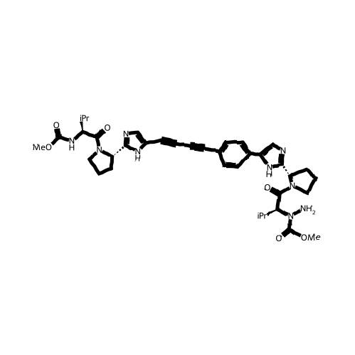 COC(=O)N[C@H](C(=O)N1CCC[C@H]1c1ncc(C#CC#Cc2ccc(-c3cnc([C@@H]4CCCN4C(=O)[C@H](C(C)C)N(N)C(=O)OC)[nH]3)cc2)[nH]1)C(C)C